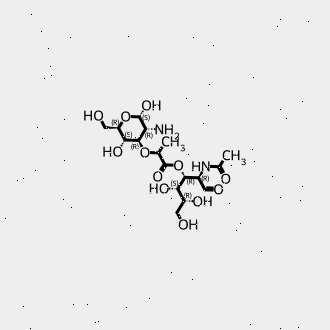 CC(=O)N[C@@H](C=O)[C@@H](OC(=O)C(C)O[C@@H]1[C@@H](N)[C@@H](O)O[C@H](CO)[C@H]1O)[C@@H](O)[C@H](O)CO